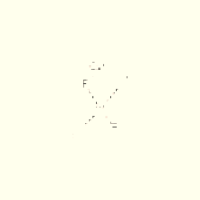 [Cs+].[F][Co-]([F])([F])[F]